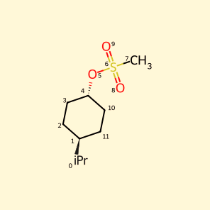 CC(C)[C@H]1CC[C@H](OS(C)(=O)=O)CC1